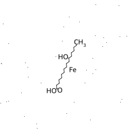 CCCCCCC(O)CCCCCCCCCCC(=O)O.[Fe]